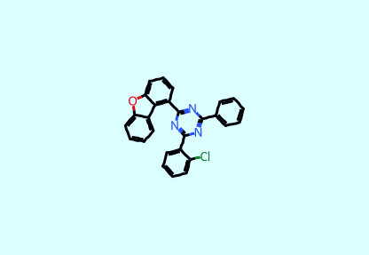 Clc1ccccc1-c1nc(-c2ccccc2)nc(-c2cccc3oc4ccccc4c23)n1